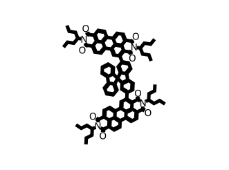 CCCC(CCC)N1C(=O)c2ccc3c4ccc5c6c(c(-c7ccc8c(c7)C7(c9ccccc9-c9ccccc97)c7cc(-c9cc%10c%11ccc%12c%13c(ccc(c%14ccc%15c(c9C(=O)N(C(CCC)CCC)C%15=O)c%14%10)c%13%11)C(=O)N(C(CCC)CCC)C%12=O)ccc7-8)cc(c7ccc(c2c37)C1=O)c64)C(=O)N(C(CCC)CCC)C5=O